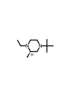 CCN1CCN(C(C)(C)C)C[C@H]1C